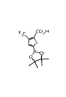 CC1(C)OB(c2cc(C(F)(F)F)c(C(=O)O)s2)OC1(C)C